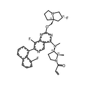 C=CC(=O)N1CC[C@@H](N(C)c2nc(OC[C@@]34CCCN3C[C@H](F)C4)nc3c(F)c(-c4cccc5cccc(F)c45)ncc23)[C@H]1C